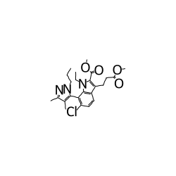 CCCn1nc(C)c(C)c1-c1c(Cl)ccc2c(CCC(=O)OC)c(C(=O)OC)n(CC)c12